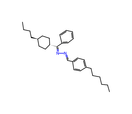 CCCCCCc1ccc(C=NN=C(c2ccccc2)[C@H]2CC[C@H](CCCC)CC2)cc1